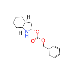 O=C(OCc1ccccc1)O[C@H]1C[C@@H]2CCCC[C@@H]2N1